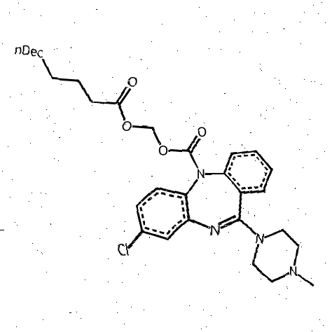 CCCCCCCCCCCCCC(=O)OCOC(=O)N1c2ccc(Cl)cc2N=C(N2CCN(C)CC2)c2ccccc21